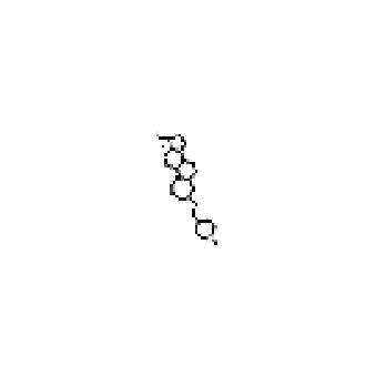 CN1CCC(CCC2CCC[C@@]3(C)C(CCC4C3CC[C@]3(C)C(=O)CCC43)C2)CC1